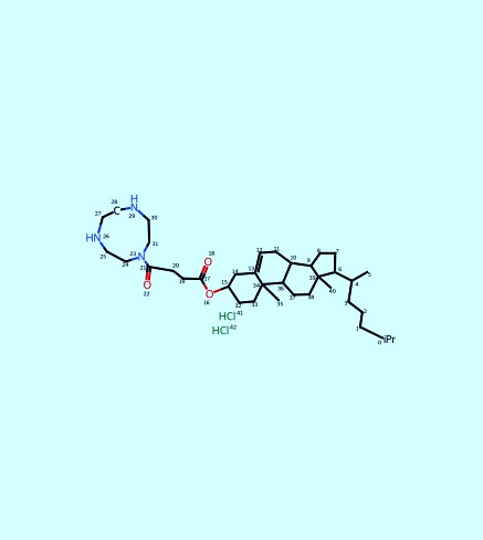 CC(C)CCCC(C)C1CCC2C3CC=C4CC(OC(=O)CCC(=O)N5CCNCCNCC5)CCC4(C)C3CCC12C.Cl.Cl